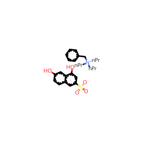 CCC[N+](CCC)(CCC)Cc1ccccc1.O=S(=O)([O-])c1cc(O)c2cc(O)ccc2c1